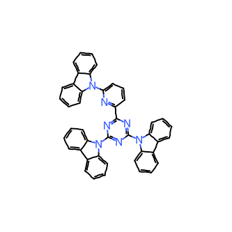 c1cc(-c2nc(-n3c4ccccc4c4ccccc43)nc(-n3c4ccccc4c4ccccc43)n2)nc(-n2c3ccccc3c3ccccc32)c1